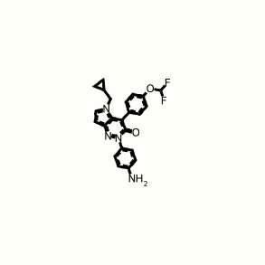 Nc1ccc(-n2nc3ccn(CC4CC4)c3c(-c3ccc(OC(F)F)cc3)c2=O)cc1